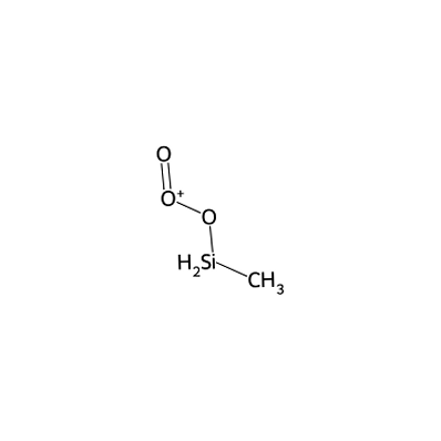 C[SiH2]O[O+]=O